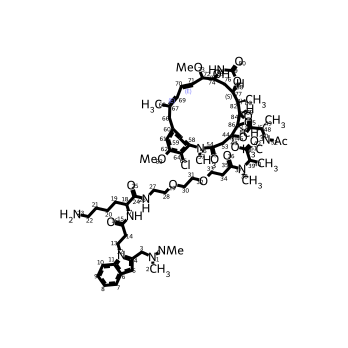 CNN(C)Cc1cc2ccccc2n1CCC(=O)NC(CCCCN)C(=O)NCCOCCOCCC(=O)N(C)C(C)C(=O)O[C@]1(OC(=O)[C@H](C)N(C)C(C)=O)CC(=O)N(C)c2cc(cc(OC)c2Cl)C/C(C)=C/C=C/C(OC)[C@@]2(O)C[C@H](OC(=O)N2)[C@@H](C)[C@@H]2O[C@]21C